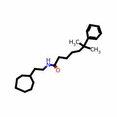 CC(C)(CCCCC(=O)NCCC1CCCCCC1)c1ccccc1